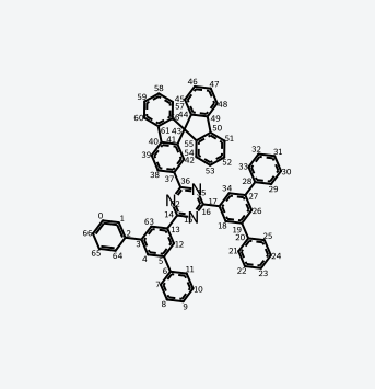 C1=C=C(c2cc(-c3ccccc3)cc(-c3nc(-c4cc(-c5ccccc5)cc(-c5ccccc5)c4)nc(-c4ccc5c(c4)C4(c6ccccc6-c6ccccc64)c4ccccc4-5)n3)c2)C=CC=1